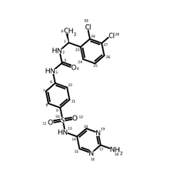 C[C@H](NC(=O)Nc1ccc(S(=O)(=O)Nc2cnc(N)nc2)cc1)c1cccc(Cl)c1Cl